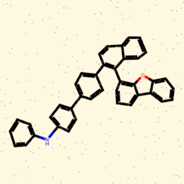 c1ccc(Nc2ccc(-c3ccc(-c4ccc5ccccc5c4-c4cccc5c4oc4ccccc45)cc3)cc2)cc1